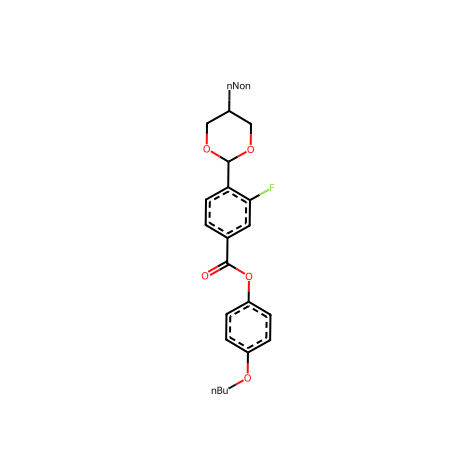 CCCCCCCCCC1COC(c2ccc(C(=O)Oc3ccc(OCCCC)cc3)cc2F)OC1